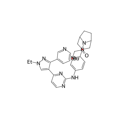 CCn1cc(-c2ccnc(Nc3ccc(N4CC5CCC(C4)N5C(=O)CC(C)(C)C)nc3)n2)c(-c2cccnc2)n1